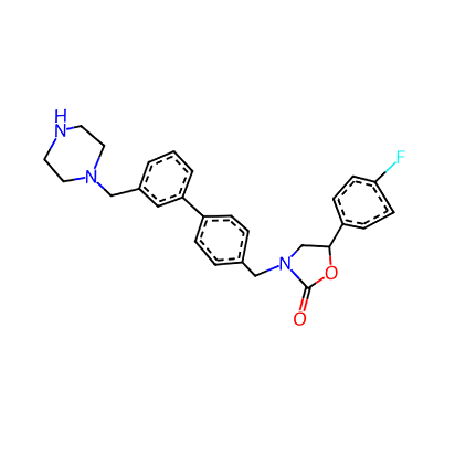 O=C1OC(c2ccc(F)cc2)CN1Cc1ccc(-c2cccc(CN3CCNCC3)c2)cc1